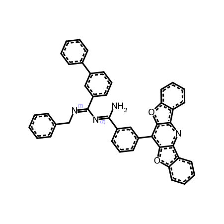 N/C(=N\C(=N/Cc1ccccc1)c1cccc(-c2ccccc2)c1)c1cccc(-c2c3oc4ccccc4c3nc3c2oc2ccccc23)c1